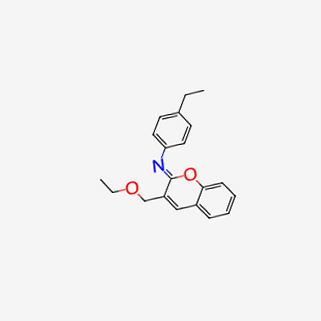 CCOCc1cc2ccccc2oc1=Nc1ccc(CC)cc1